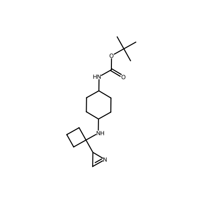 CC(C)(C)OC(=O)NC1CCC(NC2(C3C=N3)CCC2)CC1